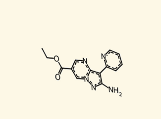 CCOC(=O)c1cnc2c(-c3ccccn3)c(N)nn2c1